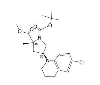 COC(=O)[C@@]1(C)C[C@H](N2CCCc3cc(Cl)ccc32)CN1C(=O)OC(C)(C)C